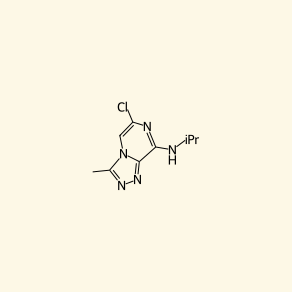 Cc1nnc2c(NC(C)C)nc(Cl)cn12